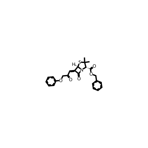 CC1(C)S[C@@H]2/C(=C/C(=O)COc3ccccc3)C(=O)N2[C@H]1C(=O)OCc1ccccc1